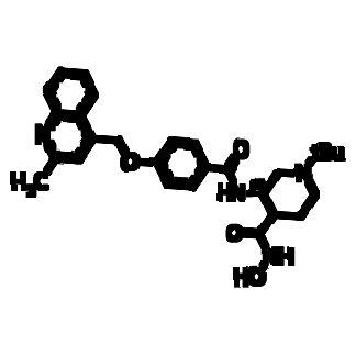 Cc1cc(COc2ccc(C(=O)N[C@@H]3CN(C(C)(C)C)CCC3C(=O)NO)cc2)c2ccccc2n1